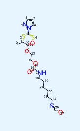 CC(SC(=S)n1cccn1)C(=O)OCCOC(=O)NCCCCCCN=C=O